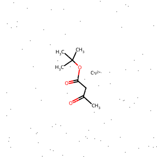 CC(=O)CC(=O)OC(C)(C)C.[Cu+2]